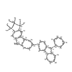 CC1(C)c2cc3[nH]c4ccc(-c5ccc6c(c5)c5ccccc5n6-c5ccccc5)cc4c3cc2C(C)(C)C1(C)C